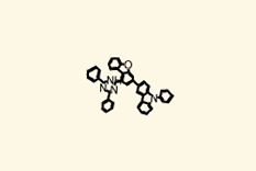 c1ccc(C2=NC(c3cc(-c4ccc5c(c4)c4ccccc4n5-c4ccccc4)cc4oc5ccccc5c34)NC(c3ccccc3)=N2)cc1